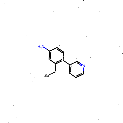 CC(C)(C)[CH]c1cc(N)ccc1-c1cccnc1